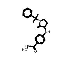 CC(C)(c1ccccc1)N1CCC(Nc2ccc(C(=O)NO)cc2)C1=O